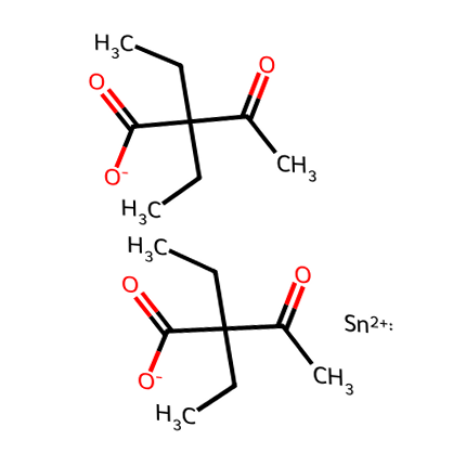 CCC(CC)(C(C)=O)C(=O)[O-].CCC(CC)(C(C)=O)C(=O)[O-].[Sn+2]